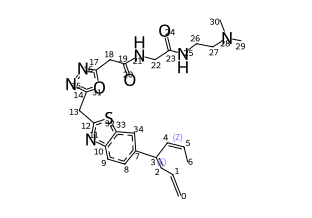 C=C/C=C(\C=C/C)c1ccc2nc(Cc3nnc(CC(=O)NCC(=O)NCCN(C)C)o3)sc2c1